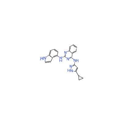 c1ccc2c(Nc3cc(C4CC4)[nH]n3)nc(Nc3cccc4[nH]ccc34)nc2c1